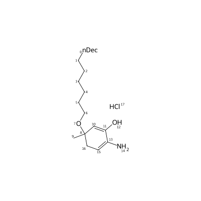 CCCCCCCCCCCCCCCCOC1(C)C=C(O)C(N)=CC1.Cl